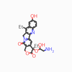 CCc1c2c(nc3ccc(O)cc13)-c1cc3c(c(=O)n1C2)COC(=O)[C@@]3(CC)OC(O)CN